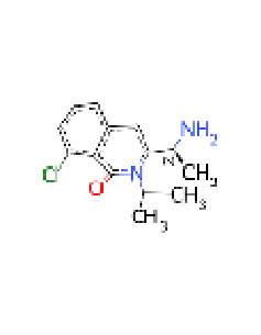 CC(C)n1c([C@H](C)N)cc2cccc(Cl)c2c1=O